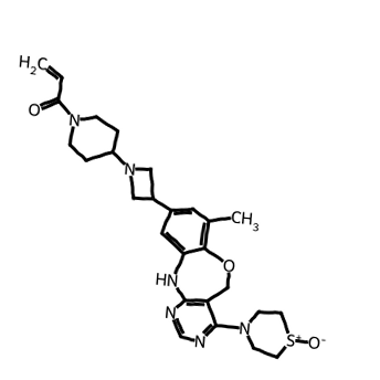 C=CC(=O)N1CCC(N2CC(c3cc(C)c4c(c3)Nc3ncnc(N5CC[S+]([O-])CC5)c3CO4)C2)CC1